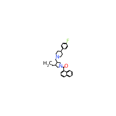 C=CC1CN(C(=O)c2cccc3ccccc23)CC1CN1CCC(c2ccc(F)cc2)CC1